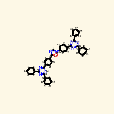 C1=NC(c2ccc(-c3nc(-c4ccccc4)nc(-c4ccccc4)n3)cc2)ON1c1ccc(-c2nc(-c3ccccc3)nc(-c3ccccc3)n2)cc1